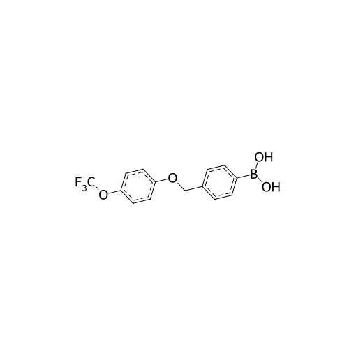 OB(O)c1ccc(COc2ccc(OC(F)(F)F)cc2)cc1